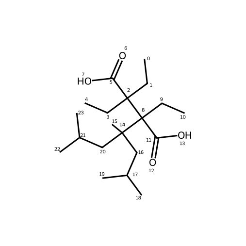 CCC(CC)(C(=O)O)C(CC)(C(=O)O)C(C)(CC(C)C)CC(C)C